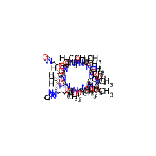 CC[C@@H]1NC(=O)[C@@H]2[C@@H]([C@H](C)CCCCCn3nc4ccccc4n3)ON2C(=O)[C@H](C(C)C)N(C)C(=O)[C@@H]2CC(C)N(C(=O)[C@H](C)NC(=O)[C@H](CC(C)C)N(C)C(=O)[C@H](C(C)C)NC(=O)[C@H]([C@@H](C)OCCCCN3CCOCC3)N(C)C(=O)[C@@H](C)N(C)C1=O)[C@H](C)C(=O)N(C)[C@@H](CC(C)C)C(=O)N2C